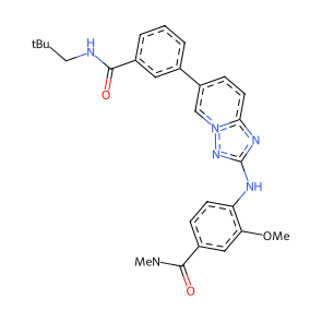 CNC(=O)c1ccc(Nc2nc3ccc(-c4cccc(C(=O)NCC(C)(C)C)c4)cn3n2)c(OC)c1